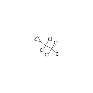 ClC(Cl)(Cl)C(Cl)(Cl)C1CC1